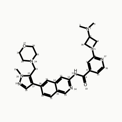 CN(C)C1CN(c2cc(C(=O)Nc3cc4cc(-c5cnn(C)c5CN5CCOCC5)ccc4cn3)ccn2)C1